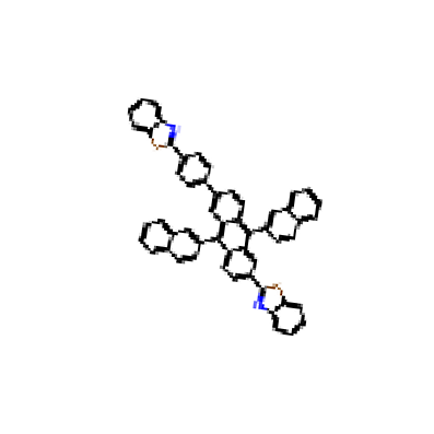 c1ccc2cc(-c3c4ccc(-c5nc6ccccc6s5)cc4c(-c4ccc5ccccc5c4)c4ccc(-c5ccc(-c6nc7ccccc7s6)cc5)cc34)ccc2c1